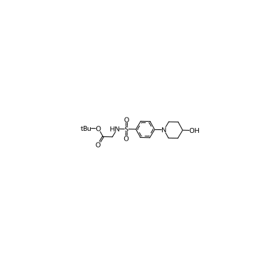 CC(C)(C)OC(=O)CNS(=O)(=O)c1ccc(N2CCC(O)CC2)cc1